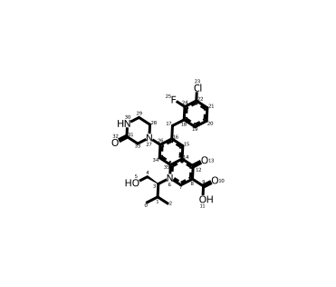 CC(C)[C@@H](CO)n1cc(C(=O)O)c(=O)c2cc(Cc3cccc(Cl)c3F)c(N3CCNC(=O)C3)cc21